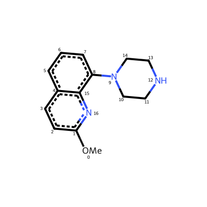 COc1ccc2cccc(N3CCNCC3)c2n1